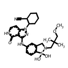 COCC(C)(C)CN1Cc2cc(Nc3nn(C4CCCCC4C#N)c4cc[nH]c(=O)c34)ccc2S1(O)O